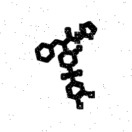 O=C(Nc1nccs1)C(CC1CCCCC1)N1CCN(S(=O)(=O)c2ccc(Cl)c(Cl)c2)CC1=O